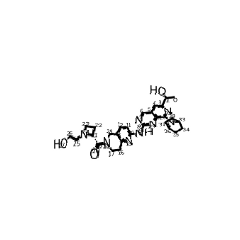 CC(O)c1cc2cnc(Nc3ccc4c(n3)CCN(C(=O)[C@H]3CCN3CCO)C4)nc2c(N2C3CCC2CC3)n1